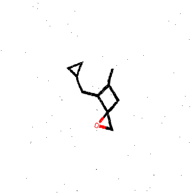 CC1CC2(CO2)C1CC1CC1